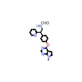 Cn1ccc2c(Oc3ccc(C(CNC=O)c4ccccn4)cc3)ncnc21